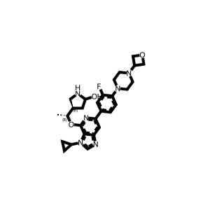 C[C@@H](Oc1nc(-c2ccc(N3CCN(C4COC4)CC3)c(F)c2)cc2ncn(C3CC3)c12)[C@H]1CNC(O)C1